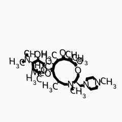 CO[C@]1(C)C[C@@H](C)CN(C)[C@H](CN2CCN(C)CC2)COC(=O)C(C)(C)C(=O)[C@H](C)[C@H]1O[C@@H]1O[C@H](C)C[C@H](N(C)C)[C@H]1O